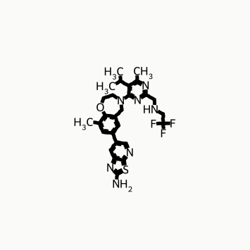 Cc1cc(-c2cnc3sc(N)nc3c2)cc2c1OCCN(c1nc(CNCC(F)(F)F)nc(C)c1C(C)C)C2